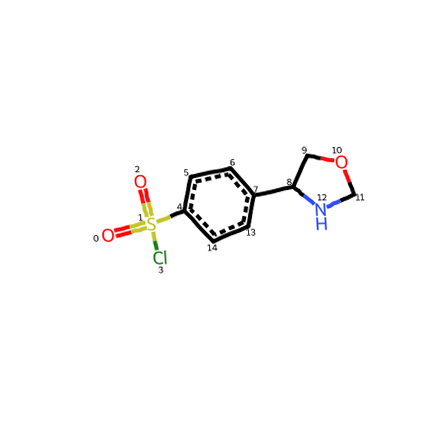 O=S(=O)(Cl)c1ccc(C2COCN2)cc1